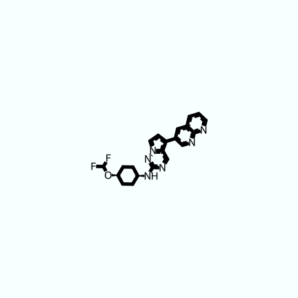 FC(F)O[C@H]1CC[C@@H](Nc2ncc3c(-c4cnc5ncccc5c4)ccn3n2)CC1